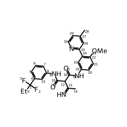 CCC(F)(F)c1cccc(NC(=O)C(C(C)=N)C(=O)Nc2ccc(OC)c(-c3cc(C)ccn3)c2)c1